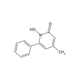 Cc1cc(-c2ccccc2)n(O)c(=O)c1